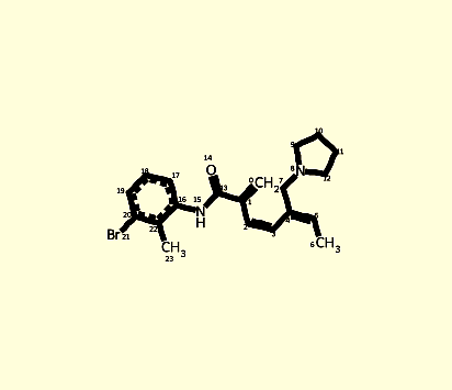 C=C(/C=C\C(=C/C)CN1CCCC1)C(=O)Nc1cccc(Br)c1C